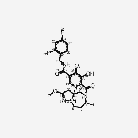 COC1=N[SH]2CC[C@H](C)N3CC2(C1)n1cc(C(=O)NCc2ccc(F)cc2F)c(=O)c(O)c1C3=O